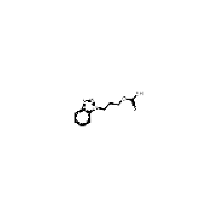 S=C(S)OCCCn1nnc2ccccc21